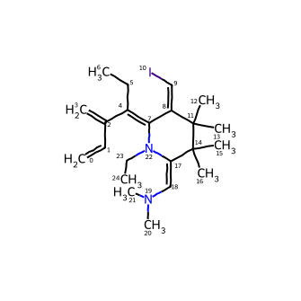 C=CC(=C)/C(CC)=C1/C(=C\I)C(C)(C)C(C)(C)/C(=C/N(C)C)N1CC